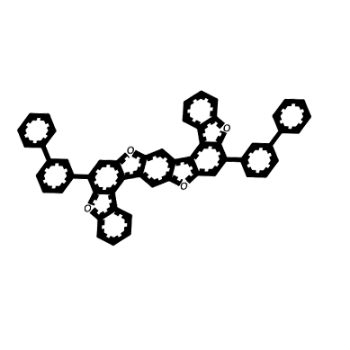 c1ccc(-c2cccc(-c3cc4oc5cc6c(cc5c4c4c3oc3ccccc34)oc3cc(-c4cccc(-c5ccccc5)c4)c4oc5ccccc5c4c36)c2)cc1